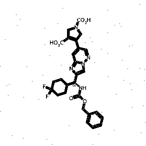 O=C(N[C@H](c1cn2ncc(C3=C(C(=O)O)CN(C(=O)O)C3)cc2n1)C1CCC(F)(F)CC1)OCc1ccccc1